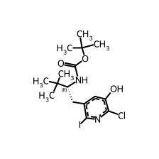 CC(C)(C)OC(=O)N[C@H](Cc1cc(O)c(Cl)nc1I)C(C)(C)C